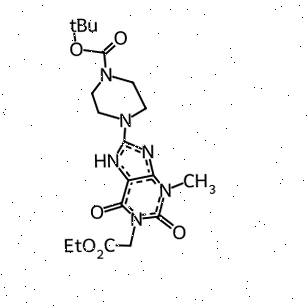 CCOC(=O)Cn1c(=O)c2[nH]c(N3CCN(C(=O)OC(C)(C)C)CC3)nc2n(C)c1=O